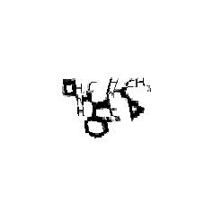 C=C(NC1CCC1)c1c(NC(C)C2CC2)sc2c1CCCC2